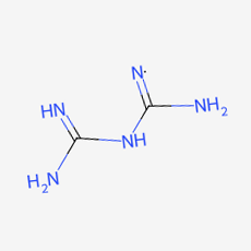 [N]=C(N)NC(=N)N